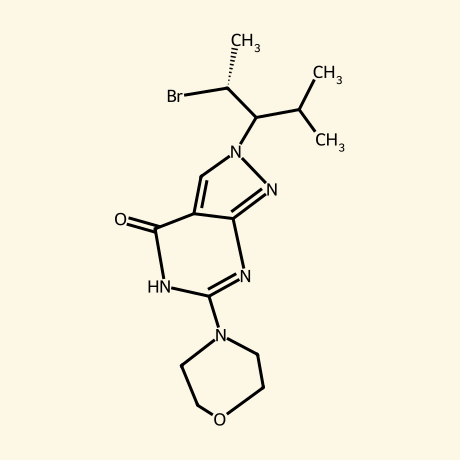 CC(C)C([C@@H](C)Br)n1cc2c(=O)[nH]c(N3CCOCC3)nc2n1